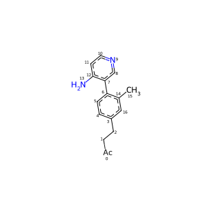 CC(=O)CCc1ccc(-c2cnccc2N)c(C)c1